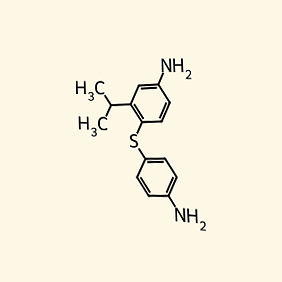 CC(C)c1cc(N)ccc1Sc1ccc(N)cc1